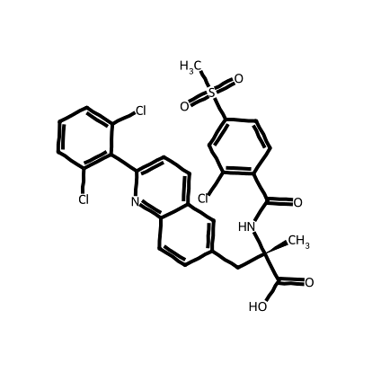 C[C@@](Cc1ccc2nc(-c3c(Cl)cccc3Cl)ccc2c1)(NC(=O)c1ccc(S(C)(=O)=O)cc1Cl)C(=O)O